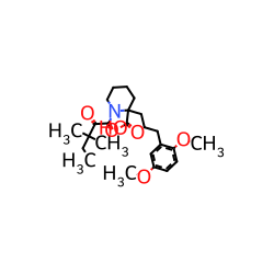 CCC(C)(C)C(=O)C(=O)N1CCCCC1(CCCc1cc(OC)ccc1OC)C(=O)O